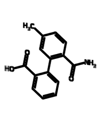 Cc1ccc(C(N)=O)c(-c2ccccc2C(=O)O)c1